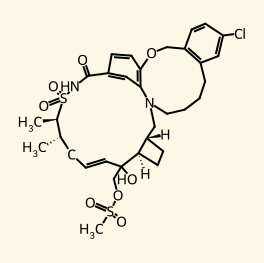 C[C@@H]1[C@@H](C)C/C=C/C(O)(COS(C)(=O)=O)[C@@H]2CC[C@H]2CN2CCCCc3cc(Cl)ccc3COc3ccc(cc32)C(=O)NS1(=O)=O